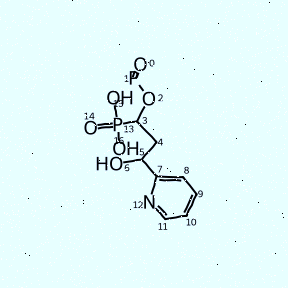 O=POC(CC(O)c1ccccn1)P(=O)(O)O